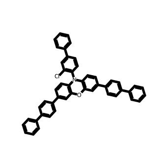 Clc1cc(-c2ccccc2)ccc1N1c2ccc(-c3ccc(-c4ccccc4)cc3)cc2Oc2cc(-c3ccc(-c4ccccc4)cc3)ccc21